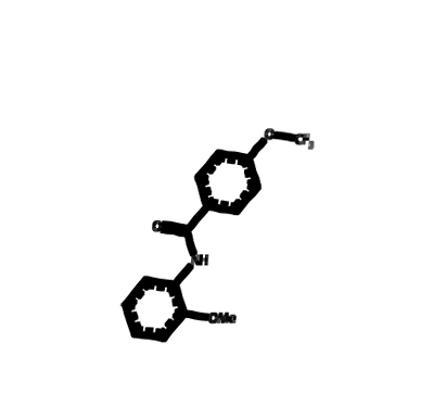 COc1cc[c]cc1NC(=O)c1ccc(OC(F)(F)F)cc1